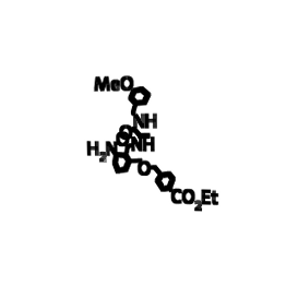 C=C(NC(=O)c1c(N)cccc1COCc1ccc(C(=O)OCC)cc1)C(=O)NCc1cccc(OC)c1